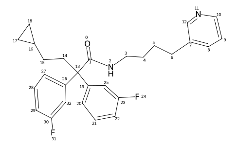 O=C(NCCCCc1cccnc1)C(CCC1CC1)(c1cccc(F)c1)c1cccc(F)c1